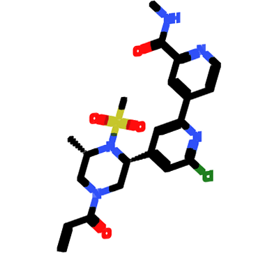 C=CC(=O)N1C[C@H](C)N(S(C)(=O)=O)[C@H](c2cc(Cl)nc(-c3ccnc(C(=O)NC)c3)c2)C1